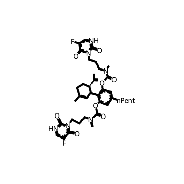 C=C(C)[C@@H]1CCC(C)=CC1c1c(OC(=O)N(C)CCCn2c(=O)[nH]cc(F)c2=O)cc(CCCCC)cc1OC(=O)N(C)CCCn1c(=O)[nH]cc(F)c1=O